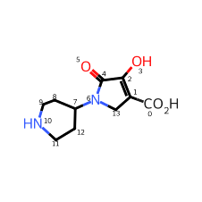 O=C(O)C1=C(O)C(=O)N(C2CCNCC2)C1